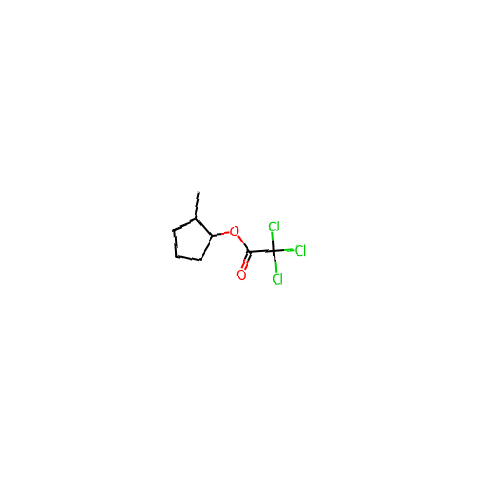 CC1CCCC1OC(=O)C(Cl)(Cl)Cl